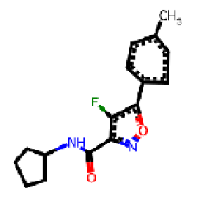 Cc1ccc(-c2onc(C(=O)NC3CCCC3)c2F)cc1